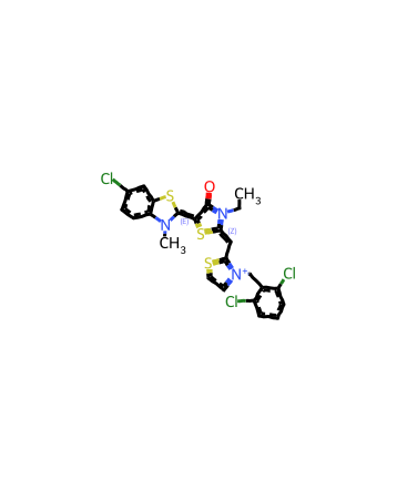 CCn1c(=O)/c(=C2\Sc3cc(Cl)ccc3N2C)s/c1=C\c1scc[n+]1Cc1c(Cl)cccc1Cl